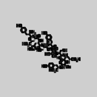 CC[C@H](C)[C@H](NC(=O)[C@H](CCC(=O)O)NC(=O)[C@H](CS)NC(=O)[C@@H](NC(=O)[C@H](Cc1ccc(O)cc1)NC(=O)[C@H](CS)NC(=O)[C@H](Cc1c[nH]cn1)NC(=O)[C@H](CCC(=O)O)NC(=O)[C@@H](N)Cc1ccc(O)cc1)[C@@H](C)O)C(=O)N[C@H](Cc1ccc(O)cc1)C(=O)O